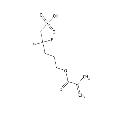 C=C(C)C(=O)OCCCC(F)(F)CS(=O)(=O)O